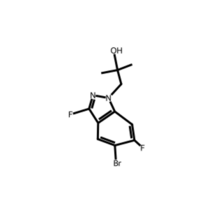 CC(C)(O)Cn1nc(F)c2cc(Br)c(F)cc21